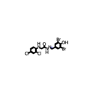 O=C(CNc1ccc(Cl)cc1Cl)N/N=C/c1cc(Br)c(O)c(Br)c1